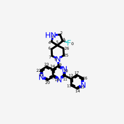 F[C@@H]1CNCC12CCN(c1nc(-c3ccncc3)nc3cnccc13)CC2